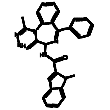 C=C1C(NC(=O)c2cc3ccccc3n2C)N=C(c2ccccc2)c2ccccc2N1/C(C)=N\N